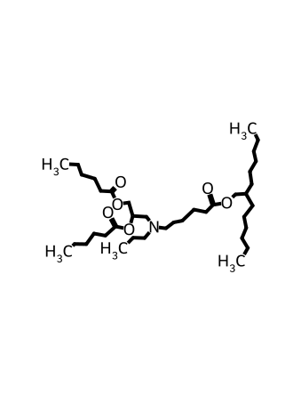 CCCCCCC(CCCCCC)COC(=O)CCCCCN(CCC)CC(COC(=O)CCCCC)OC(=O)CCCCC